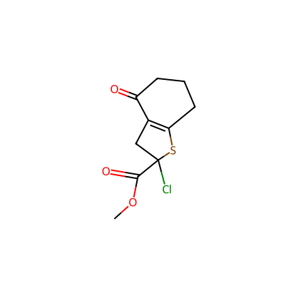 COC(=O)C1(Cl)CC2=C(CCCC2=O)S1